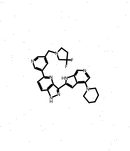 FC1(F)CCN(Cc2cncc(-c3ccc4[nH]nc(-c5cc6c(N7CCCCC7)cncc6[nH]5)c4n3)c2)C1